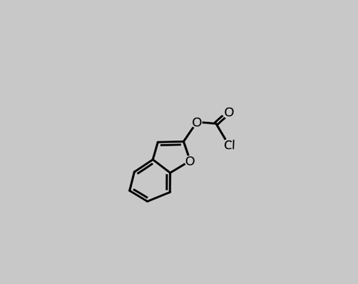 O=C(Cl)Oc1cc2ccccc2o1